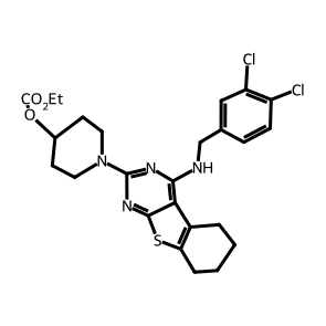 CCOC(=O)OC1CCN(c2nc(NCc3ccc(Cl)c(Cl)c3)c3c4c(sc3n2)CCCC4)CC1